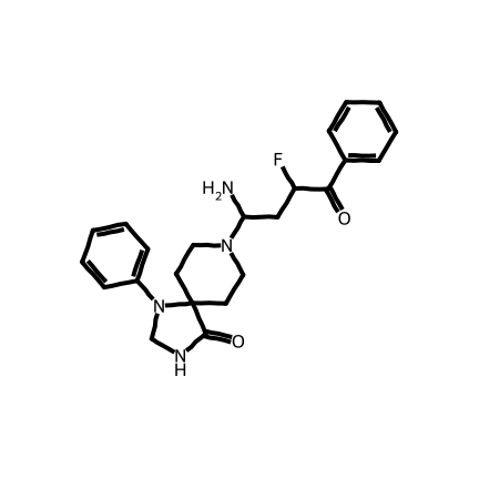 NC(CC(F)C(=O)c1ccccc1)N1CCC2(CC1)C(=O)NCN2c1ccccc1